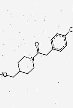 O=C(Cc1ccc(Cl)cc1)N1CCC(CO)CC1